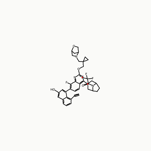 C#Cc1cccc2cc(O)cc(-c3ccc4c(N5CC6CCC(C5)N6C(=O)C(F)(F)F)nc(OCC5(CN6CC7CC6CO7)CC5)nc4c3F)c12